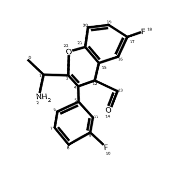 CC(N)C1=C(c2cccc(F)c2)C(C=O)c2cc(F)ccc2O1